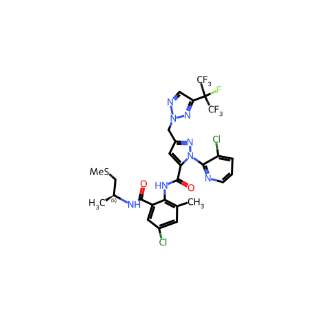 CSC[C@H](C)NC(=O)c1cc(Cl)cc(C)c1NC(=O)c1cc(Cn2ncc(C(F)(C(F)(F)F)C(F)(F)F)n2)nn1-c1ncccc1Cl